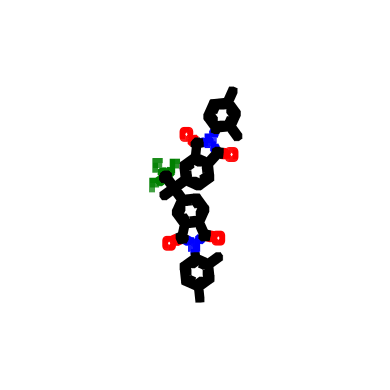 Cc1ccc(N2C(=O)c3ccc(C(C)(c4ccc5c(c4)C(=O)N(c4ccc(C)cc4C)C5=O)C(F)(F)F)cc3C2=O)c(C)c1